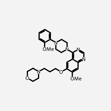 COc1cc2ncnc(N3CCN(c4ccccc4OC)CC3)c2cc1OCCCN1CCOCC1